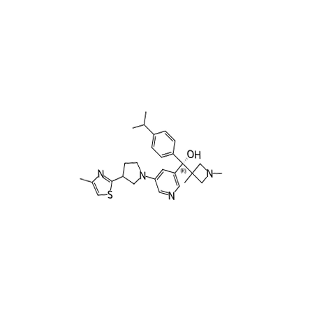 Cc1csc(C2CCN(c3cncc([C@@](O)(c4ccc(C(C)C)cc4)C4(C)CN(C)C4)c3)C2)n1